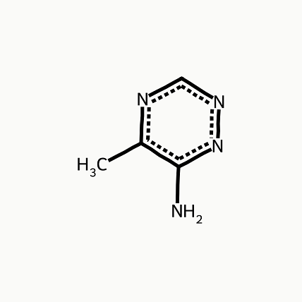 Cc1ncnnc1N